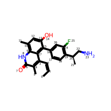 C/C=C\c1c(C)c(=O)[nH]c2c(C)cc(O)c(-c3ccc([C@H](C)CN)c(F)c3)c12